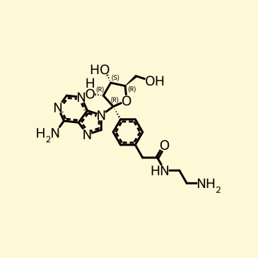 NCCNC(=O)Cc1ccc([C@@]2(n3cnc4c(N)ncnc43)O[C@H](CO)[C@@H](O)[C@H]2O)cc1